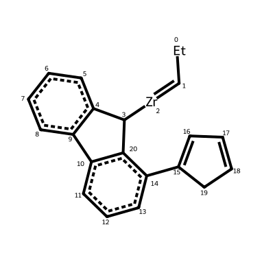 CC[CH]=[Zr][CH]1c2ccccc2-c2cccc(C3=CC=CC3)c21